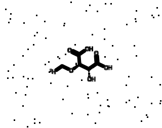 [2H]CO[C@@H](C(=O)O)[C@@H](O)C(=O)O